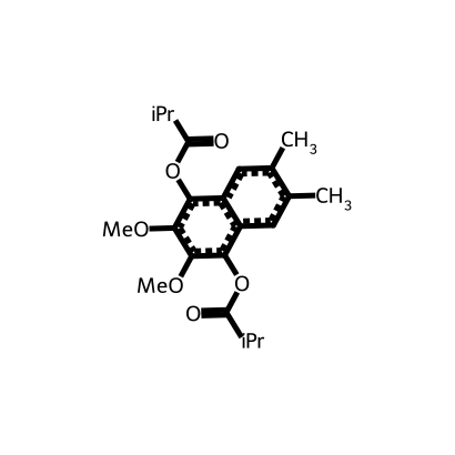 COc1c(OC)c(OC(=O)C(C)C)c2cc(C)c(C)cc2c1OC(=O)C(C)C